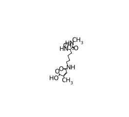 CNC(=O)C(CCCCNC(=O)/C=C(/C)C(=O)O)NC